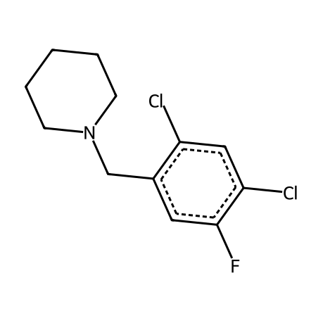 Fc1cc(CN2CCCCC2)c(Cl)cc1Cl